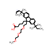 C/C=C\C(C)(C)c1ccc2c(c1)C(CCCCC(=O)O)(CCOCCOCCOC)c1cc(C(C)(C)CC)ccc1-2